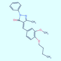 CCCCOc1ccc(C=C2C(=O)N(c3ccccc3)N=C2C)cc1OC